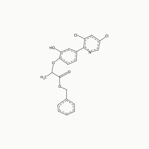 CC(Oc1ccc(-c2ncc(Cl)cc2Cl)cc1O)C(=O)OCc1ccccc1